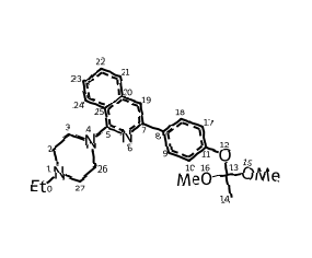 CCN1CCN(c2nc(-c3ccc(OC(C)(OC)OC)cc3)cc3ccccc23)CC1